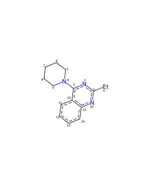 CCc1nc(N2CCCCC2)c2ccccc2n1